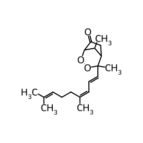 CC(C)=CCCC(C)=CC=CC1(C)OOC2C(=O)CC1C2C